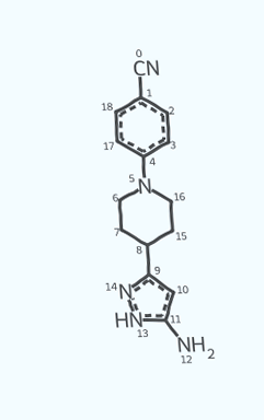 N#Cc1ccc(N2CCC(c3cc(N)[nH]n3)CC2)cc1